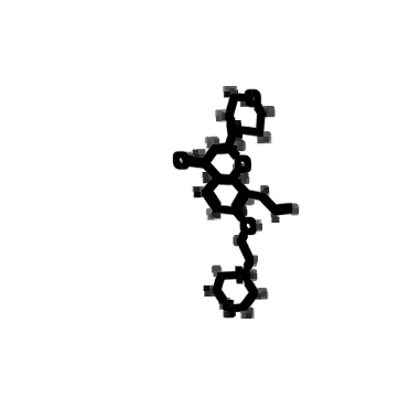 C=CCc1c(OCCN2CCSCC2)ccc2c(=O)cc(N3CCOCC3)oc12